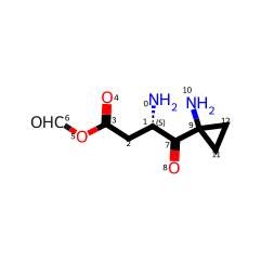 N[C@@H](CC(=O)OC=O)C(=O)C1(N)CC1